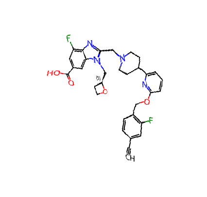 C#Cc1ccc(COc2cccc(C3CCN(Cc4nc5c(F)cc(C(=O)O)cc5n4C[C@@H]4CCO4)CC3)n2)c(F)c1